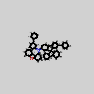 c1ccc(-c2cccc(N(c3ccc4c(c3)C3(c5ccccc5-c5ccccc53)c3cc(-c5ccccc5)ccc3-4)c3cccc4oc5ccccc5c34)c2)cc1